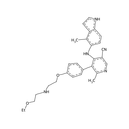 CCOCCNCCOc1ccc(-c2c(C)ncc(C#N)c2Nc2ccc3[nH]ccc3c2C)cc1